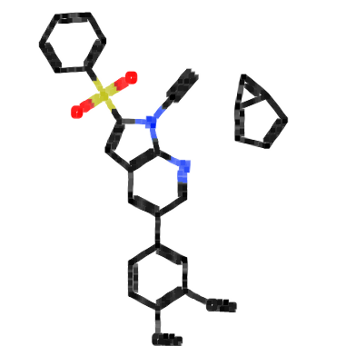 C#Cn1c(S(=O)(=O)c2ccccc2)cc2cc(-c3ccc(OC)c(OC)c3)cnc21.c1cc2cc-2c1